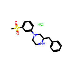 CS(=O)(=O)c1cccc(N2CCNC(Cc3ccccc3)C2)c1.Cl